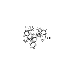 C=Cc1cccc(C(C)C)c1/N=C(C)/C(Cc1ccccn1)=C(/C)Nc1c(C(C)C)cccc1C(C)C